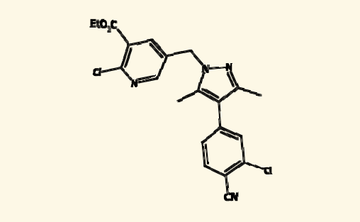 CCOC(=O)c1cc(Cn2nc(C)c(-c3ccc(C#N)c(Cl)c3)c2C)cnc1Cl